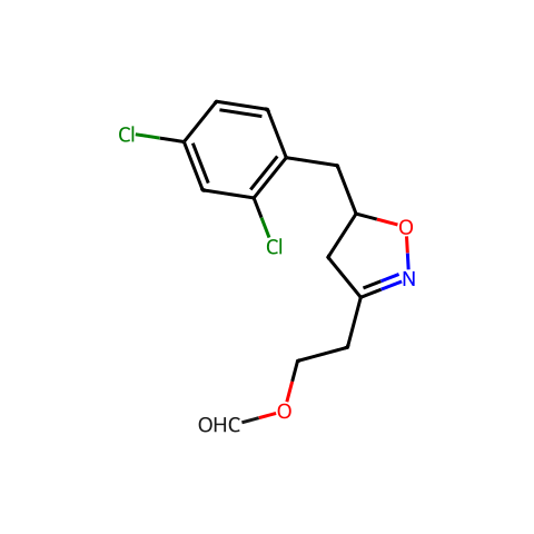 O=COCCC1=NOC(Cc2ccc(Cl)cc2Cl)C1